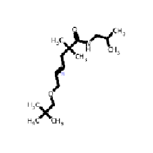 CC(C)CNC(=O)C(C)(C)C/C=C/COCC(C)(C)C